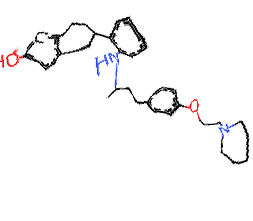 CC(CCc1ccc(OCCN2CCCCCC2)cc1)Nc1ccccc1C1CCc2cc(O)ccc2C1